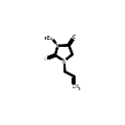 C=CCN1CC(=O)N(CCCC)C1=O